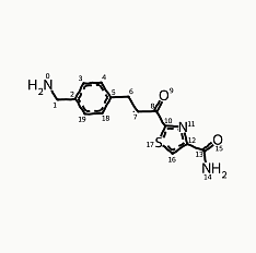 NCc1ccc(C[CH]C(=O)c2nc(C(N)=O)cs2)cc1